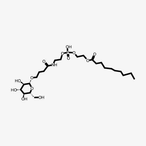 CCCCCCCCCC(=O)OCCOP(=O)(O)OCCNC(=O)CCCO[C@@H]1O[C@H](CO)[C@@H](O)[C@H](O)[C@H]1O